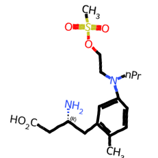 CCCN(CCOS(C)(=O)=O)c1ccc(C)c(C[C@@H](N)CC(=O)O)c1